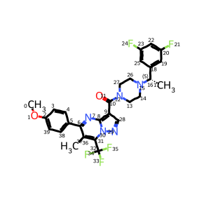 COc1ccc(-c2nc3c(C(=O)N4CCN([C@@H](C)c5cc(F)cc(F)c5)CC4)cnn3c(C(F)(F)F)c2C)cc1